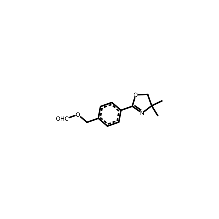 CC1(C)COC(c2ccc(COC=O)cc2)=N1